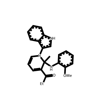 CCC(=O)C1=CC=CN(c2c[nH]c3ccccc23)C1(C)Nc1ccccc1OC